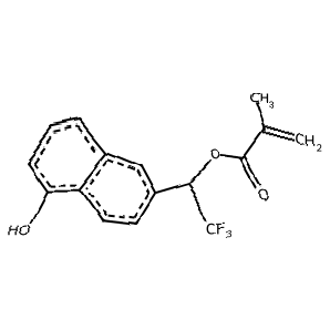 C=C(C)C(=O)OC(c1ccc2c(O)cccc2c1)C(F)(F)F